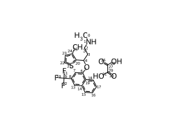 CNCCC(Oc1cc(C(F)(F)F)cc2ccccc12)c1sccc1C.O=C(O)C(=O)O